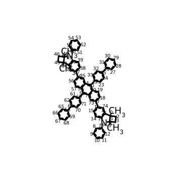 CC12CCC1(C)N(c1ccccc1)c1ccc(-c3ccc4c(-c5ccc(-c6ccccc6)cc5)c5cc(-c6ccc7c(c6)C6(C)CCC6(C)N7c6ccccc6)ccc5c(-c5ccc(-c6ccccc6)cc5)c4c3)cc12